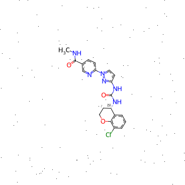 CNC(=O)c1ccc(-n2ccc(NC(=O)N[C@H]3CCOc4c(Cl)cccc43)n2)nc1